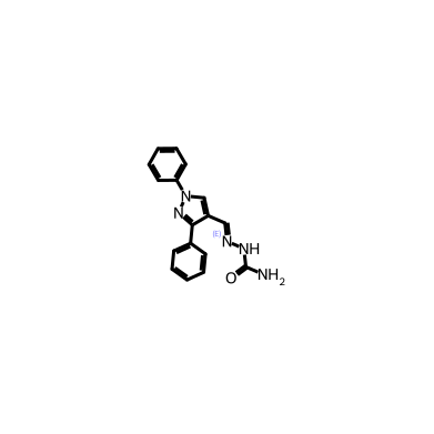 NC(=O)N/N=C/c1cn(-c2ccccc2)nc1-c1ccccc1